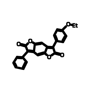 CCOc1ccc(C2=c3cc4c(cc3OC2=O)=C(c2ccccc2)C(=O)O4)cc1